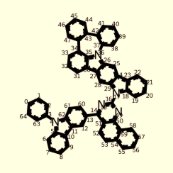 c1ccc(-n2c3ccccc3c3cc(-c4nc(-n5c6ccccc6c6cc7c(cc65)c5cccc6c5n7-c5ccccc5-c5ccccc5-6)nc5c4ccc4ccccc45)ccc32)cc1